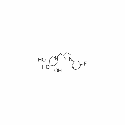 O[C@H]1[C@H](O)CN(C[C@H]2CCN(c3cccc(F)c3)C2)C[C@@H]1O